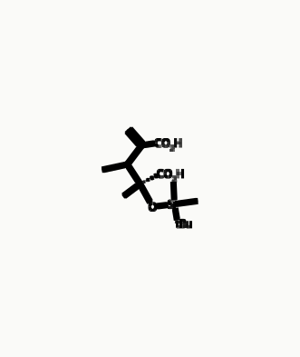 C=C(C(=O)O)C(C)[C@](C)(O[Si](C)(C)C(C)(C)C)C(=O)O